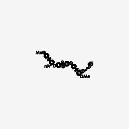 CCCc1cc(C(C)(C)c2ccc(OC)cc2)ccc1Oc1ccc(S(=O)(=O)c2ccc(Oc3ccc(C(C)(C)c4ccc(OC)c(CNCCCn5ccnc5)c4)cc3)cc2)cc1